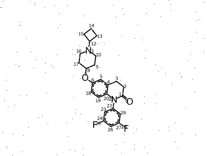 O=C1CCc2cc(OC3CCN(C4CCC4)CC3)ccc2N1c1cc(F)cc(F)c1